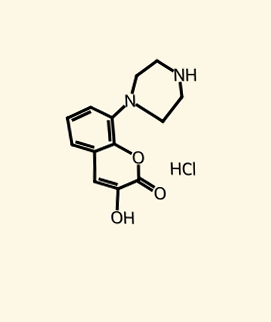 Cl.O=c1oc2c(N3CCNCC3)cccc2cc1O